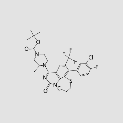 CC1CN(C(=O)OC(C)(C)C)CCN1c1nc(=O)n2c3c(c(-c4ccc(F)c(Cl)c4)c(C(F)(F)F)cc13)SCCC2